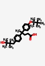 CC(CCC(=O)O)(c1ccc(CC(C)(C)[Si](C)(C)O)cc1)c1ccc(O[Si](C)(C)C(C)(C)C)cc1